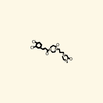 CN1CCN(CCCN2CCN(C(=O)C=Cc3ccc(Cl)c(Cl)c3)CCC2=O)CC1=O